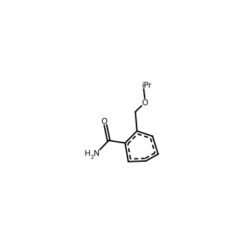 CC(C)OCc1ccccc1C(N)=O